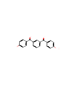 O=C(c1ccc(O)cc1)c1cccc(C(=O)c2ccc(O)cc2)c1